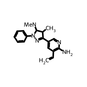 C=Cc1cc(C2=NN(c3ccccc3)C(NC)C2C)cnc1N